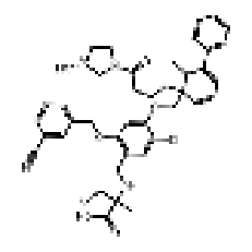 CC1C(c2ccccc2)=CC=CC1(COc1cc(OCc2cncc(C#N)c2)c(CNC(C)(CO)C(=O)O)cc1Cl)OCCC(=O)N1CC[C@@H](O)C1